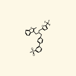 Cc1sc2ccccc2c1CN(Cc1ccc(-c2cccc(S(C)(=O)=O)c2)cc1)Cc1ccc(C(F)(F)F)o1